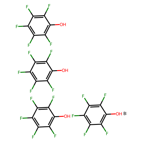 Oc1c(F)c(F)c(F)c(F)c1F.Oc1c(F)c(F)c(F)c(F)c1F.Oc1c(F)c(F)c(F)c(F)c1F.Oc1c(F)c(F)c(F)c(F)c1F.[B]